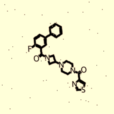 O=C(c1cscn1)N1CCN(C2CN(C(=O)c3cc(-c4ccccc4)ccc3F)C2)CC1